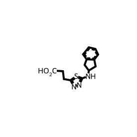 O=C(O)CCc1nnc(NC2Cc3ccccc3C2)s1